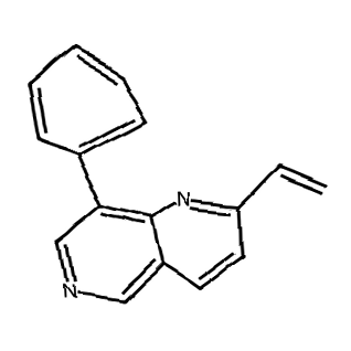 C=Cc1ccc2cncc(-c3ccccc3)c2n1